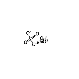 O.O=S(=O)([O-])[O-].[O]=[V+2]